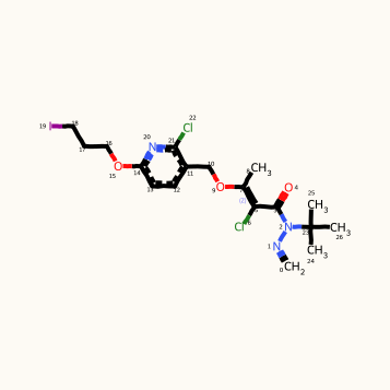 C=NN(C(=O)/C(Cl)=C(\C)OCc1ccc(OCCCI)nc1Cl)C(C)(C)C